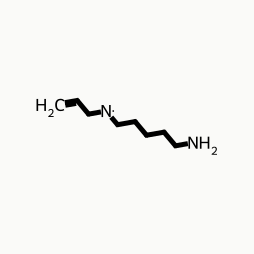 C=CC[N]CCCCCN